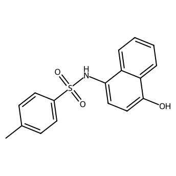 Cc1ccc(S(=O)(=O)Nc2ccc(O)c3ccccc23)cc1